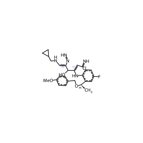 COc1ccc(CO[C@H](C)c2cc(F)ccc2N/C(=C\C(=N)Cl)C(O)/C(=C/NCC2CC2)N=N)cc1